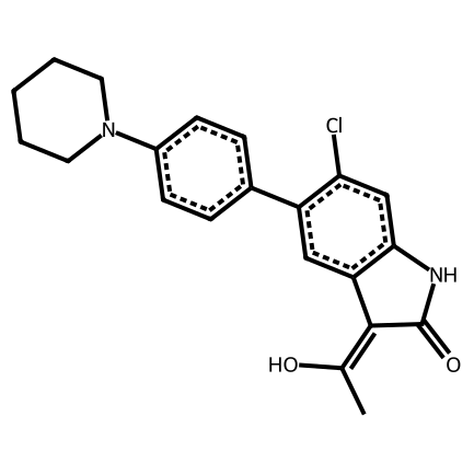 C/C(O)=C1\C(=O)Nc2cc(Cl)c(-c3ccc(N4CCCCC4)cc3)cc21